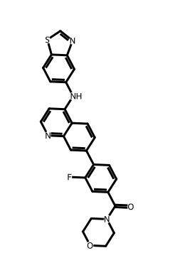 O=C(c1ccc(-c2ccc3c(Nc4ccc5scnc5c4)ccnc3c2)c(F)c1)N1CCOCC1